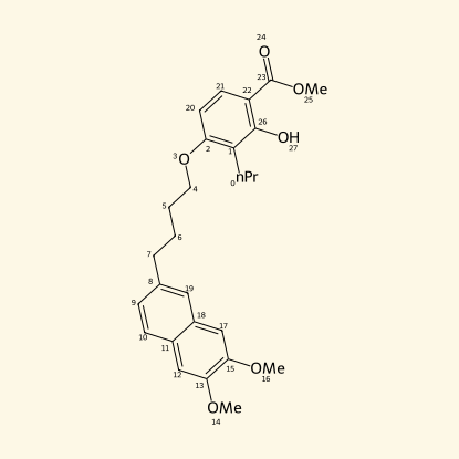 CCCc1c(OCCCCc2ccc3cc(OC)c(OC)cc3c2)ccc(C(=O)OC)c1O